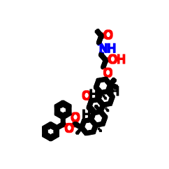 CC(=O)CNCC(O)CO[C@H]1CC[C@]2(C)[C@H]3C(=O)C=C4[C@@H]5C[C@@](C)(C(=O)OC(c6ccccc6)c6ccccc6)CC[C@]5(C)CC[C@@]4(C)[C@]3(C)CC[C@H]2C1(C)C